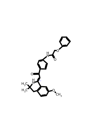 COc1ccc2c(c1)/C(=C/C(=O)c1ccc(NC(=O)COc3ccccc3)cc1)NC(C)(C)C2